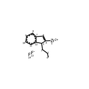 CCCC1[C]([Zr+2])=Cc2ccccc21.[F-].[F-]